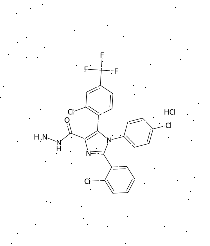 Cl.NNC(=O)c1nc(-c2ccccc2Cl)n(-c2ccc(Cl)cc2)c1-c1ccc(C(F)(F)F)cc1Cl